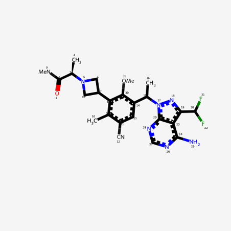 CNC(=O)[C@@H](C)N1CC(c2c(C)c(C#N)cc(C(C)n3nc(C(F)F)c4c(N)ncnc43)c2OC)C1